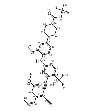 C#C/C(C#Cc1nc(Nc2ccc(C3CCN(C(=O)OC(C)(C)C)CC3)cc2CC)ncc1C(F)(F)F)=C(\C=C/C)CC(=O)OC